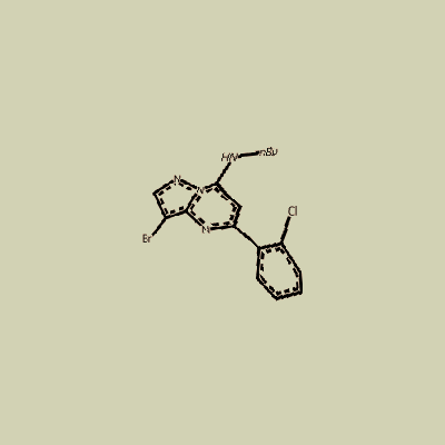 CCCCNc1cc(-c2ccccc2Cl)nc2c(Br)cnn12